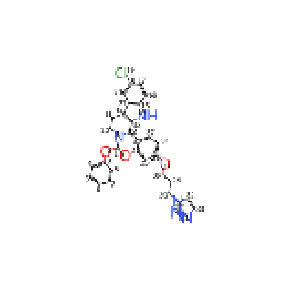 O=C(Oc1ccccc1)N1CCC2=C(NC3C=CC(Cl)=CC23)C1c1ccc(OCCCn2ccnn2)cc1